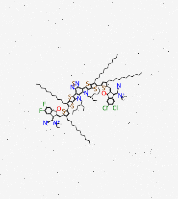 [C-]#[N+]/C(C#N)=C1\C(=C\c2sc(-c3sc4c(sc5c6c7nsnc7c7c8sc9c(CCCCCCCCCCC)c(-c%10cc(CCCCCCCCCCC)c(/C=C%11\C(=O)c%12cc(Cl)c(Cl)cc%12\C%11=C(\C#N)[N+]#[C-])s%10)sc9c8n(CC(CC)CCCC)c7c6n(CC(CC)CCCC)c45)c3CCCCCCCCCCC)cc2CCCCCCCCCCC)C(=O)c2cc(F)c(F)cc21